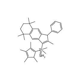 CC1=C(C)C(C)[C]([Zr]([CH3])([CH3])(=[SiH2])[C]2=C(C)C(c3ccccc3)c3cc4c(cc32)C(C)(C)CCC4(C)C)=C1C